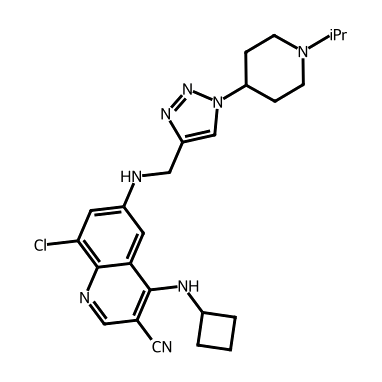 CC(C)N1CCC(n2cc(CNc3cc(Cl)c4ncc(C#N)c(NC5CCC5)c4c3)nn2)CC1